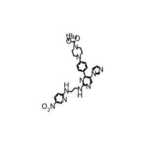 CC(C)(C)OC(=O)N1CCN(c2ccc(-c3nc(NCCNc4ccc([N+](=O)[O-])cn4)ncc3-n3ccnc3)cc2)CC1